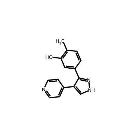 Cc1ccc(-c2n[nH]cc2-c2ccncc2)cc1O